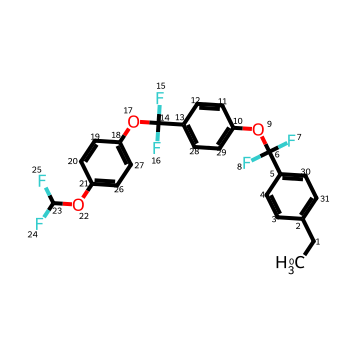 CCc1ccc(C(F)(F)Oc2ccc(C(F)(F)Oc3ccc(OC(F)F)cc3)cc2)cc1